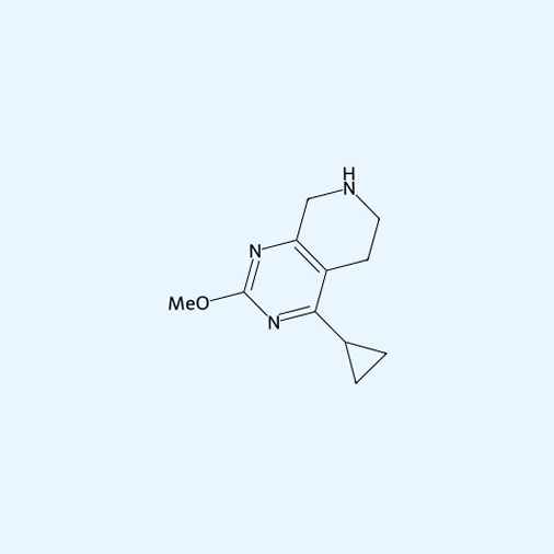 COc1nc2c(c(C3CC3)n1)CCNC2